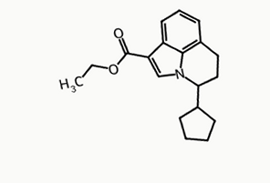 CCOC(=O)c1cn2c3c(cccc13)CCC2C1CCCC1